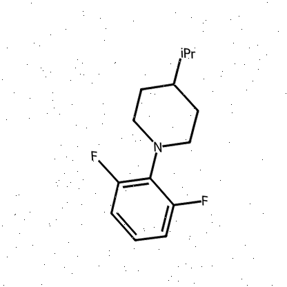 CC(C)C1CCN(c2c(F)cccc2F)CC1